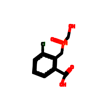 O=C(O)c1cccc(Cl)c1C[PH](=O)CO